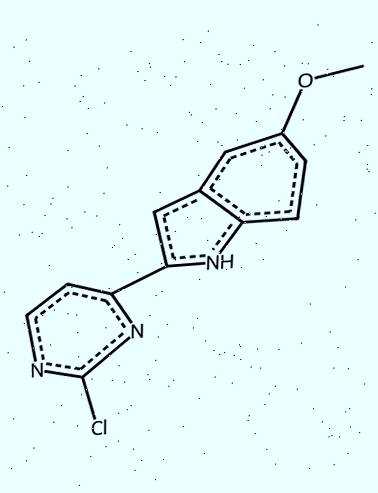 COc1ccc2[nH]c(-c3ccnc(Cl)n3)cc2c1